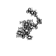 CC1CC(C(=O)NCc2cn(CCCCn3ccc4cc([N+](=O)[O-])ccc43)nn2)C[C@@H](O[C@@H]2OC(CO)[C@H](O)C(O[C@@H](CC3CCCCC3)C(=O)O)C2OC(=O)c2ccccc2)C1O[C@@H]1OC(C)[C@@H](O)C(O)C1O